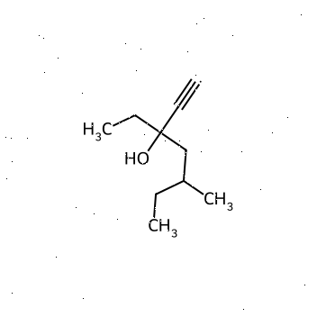 [C]#CC(O)(CC)CC(C)CC